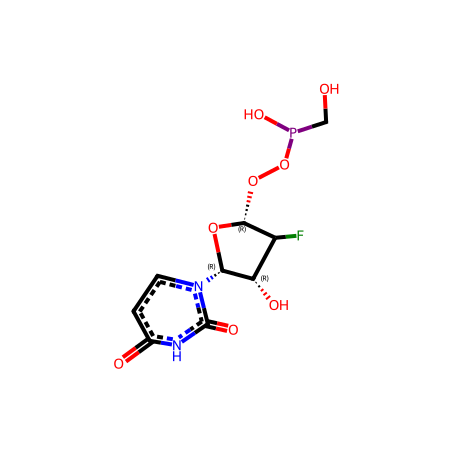 O=c1ccn([C@@H]2O[C@H](OOP(O)CO)C(F)[C@@H]2O)c(=O)[nH]1